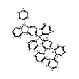 c1ccc(-n2c3ccccc3c3cc([Si](c4ccccc4)(c4ccccc4)c4ccc5c(c4)-c4ccccc4-c4ccccc4-c4ccccc4-5)ccc32)cc1